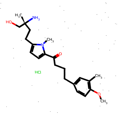 COc1ccc(CCCC(=O)c2ccc(CC[C@@](C)(N)CO)n2C)cc1C.Cl